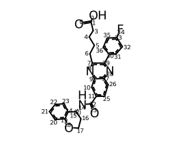 O=C(O)CCCCc1nc2cc(C(=O)N[C@@H]3CCOc4ccccc43)ccc2nc1-c1ccc(F)cc1